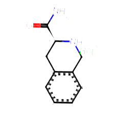 Cl.NC(=O)[C@@H]1Cc2ccccc2CN1